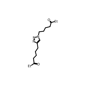 CCC(=O)CCCCc1cn(CCCCC(=O)CC)nn1